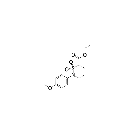 CCOC(=O)C1CCCN(c2ccc(OC)cc2)S1(=O)=O